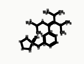 CC(C)OC(=C(C(C)C)C(C)C)c1cccc(OP2(=O)OCCO2)c1